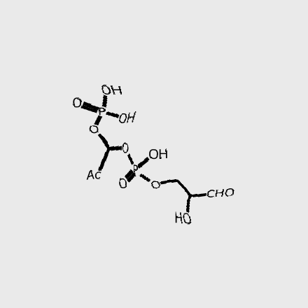 CC(=O)C(OP(=O)(O)O)OP(=O)(O)OCC(O)C=O